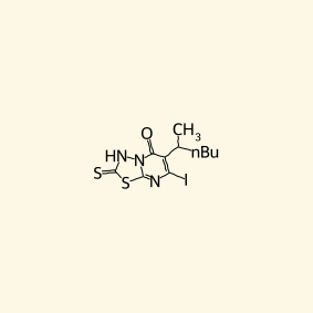 CCCCC(C)c1c(I)nc2sc(=S)[nH]n2c1=O